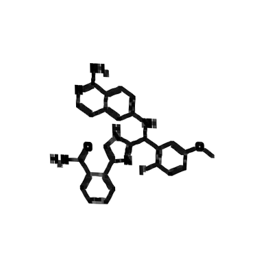 COc1ccc(F)c(C(Nc2ccc3c(N)nccc3c2)c2nc(-c3ccccc3C(N)=O)c[nH]2)c1